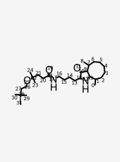 CC1CCCCCC(C)C2C(=O)C(CCCCNC(=O)CCC(C)(C)OCCC(C)(C)I)NC12